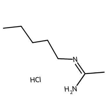 CCCCCN=C(C)N.Cl